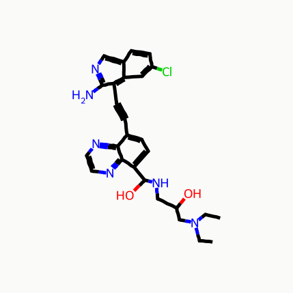 CCN(CC)CC(O)CNC(O)c1ccc(C#Cc2c(N)ncc3ccc(Cl)cc23)c2nccnc12